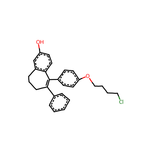 Oc1ccc2c(c1)CCCC(c1ccccc1)=C2c1ccc(OCCCCCl)cc1